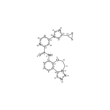 O=C(Nc1cccc2c1OCCn1nncc1-2)c1cc(-n2cnc(C3CC3)c2)ccn1